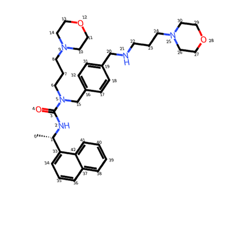 C[C@H](NC(=O)N(CCCN1CCOCC1)Cc1ccc(CNCCCN2CCOCC2)cc1)c1cccc2ccccc12